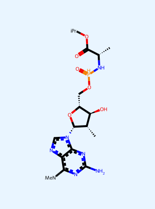 CNc1nc(N)nc2c1ncn2[C@@H]1O[C@H](CO[PH](=O)N[C@@H](C)C(=O)OC(C)C)[C@@H](O)[C@@H]1C